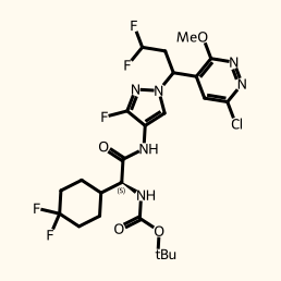 COc1nnc(Cl)cc1C(CC(F)F)n1cc(NC(=O)[C@@H](NC(=O)OC(C)(C)C)C2CCC(F)(F)CC2)c(F)n1